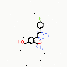 N=C(/C=C(\N)C1=CCC(F)C=C1)c1ccc(CO)cc1C(N)=O